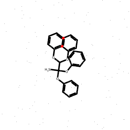 [SiH3]C(Oc1ccccc1)(Oc1ccccc1)C(Oc1ccccc1)Oc1ccccc1